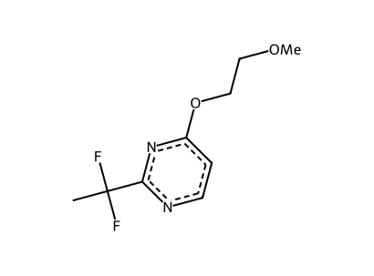 COCCOc1ccnc(C(C)(F)F)n1